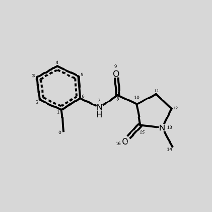 Cc1ccccc1NC(=O)C1CCN(C)C1=O